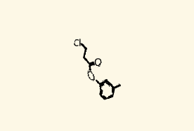 Cc1cccc(OC(=O)CCCl)c1